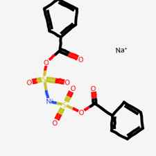 O=C(OS(=O)(=O)[N-]S(=O)(=O)OC(=O)c1ccccc1)c1ccccc1.[Na+]